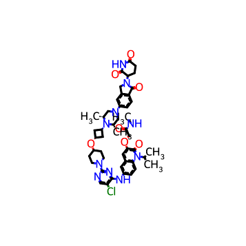 CNC(=O)COc1cc2cc(Nc3nc(N4CCC(O[C@H]5C[C@H](N6[C@H](C)CN(c7ccc8c(c7)CN(C7CCC(=O)NC7=O)C8=O)C[C@H]6C)C5)CC4)ncc3Cl)ccc2n(C(C)C)c1=O